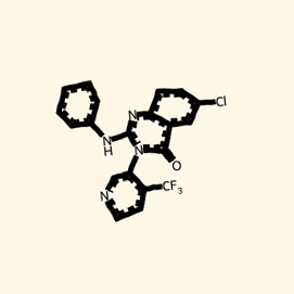 O=c1c2cc(Cl)ccc2nc(Nc2ccccc2)n1-c1cnccc1C(F)(F)F